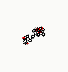 c1ccc(C2(c3ccccc3)c3ccccc3-c3ccc(N(c4ccc(-c5cccc6c5-c5ccccc5C65c6ccccc6Sc6ccccc65)cc4)c4cccc5oc6c7ccccc7ccc6c45)cc32)cc1